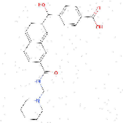 O=C(O)c1ccc(C(O)c2ccc3ccc(C(=O)NCN4CCCCC4)cc3c2)cc1